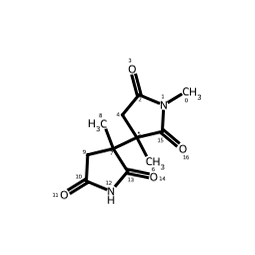 CN1C(=O)CC(C)(C2(C)CC(=O)NC2=O)C1=O